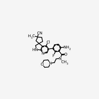 CN(CCN1CCOCC1)C(=O)c1c(N)ccc(-c2cnc3c(c2Cl)C2(CCC(C)(C#N)C2)CN3)c1F